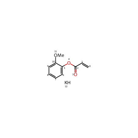 C=CC(=O)Oc1ccccc1OC.[KH]